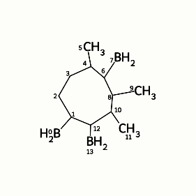 BC1CCC(C)C(B)C(C)C(C)C1B